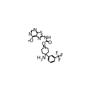 COc1ncnc2sc(NC(=O)ON3CCC(N)(c4cccc(C(F)(F)F)c4)CC3)nc12